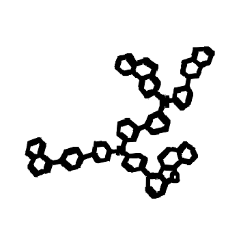 c1cc(-c2cccc(N(c3cccc(-c4ccc5ccccc5c4)c3)c3ccc4c(ccc5ccccc54)c3)c2)cc(N(c2ccc(-c3ccc(-c4cccc5ccccc45)cc3)cc2)c2ccc(-c3cccc4oc5c6ccccc6ccc5c34)cc2)c1